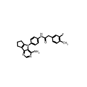 Cc1ccc(CC(=O)Nc2ccc(-n3c4c(c5ncnc(N)c53)CCC4)cc2)cc1F